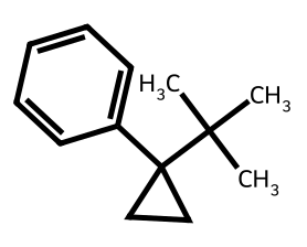 CC(C)(C)C1(c2ccccc2)CC1